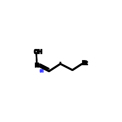 CCC[CH]/C=N\O